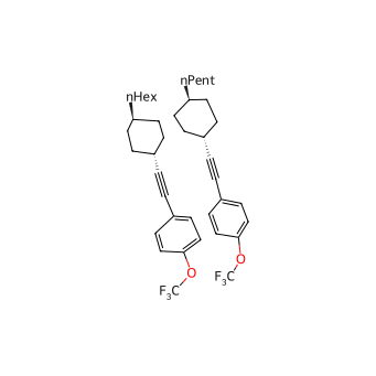 CCCCCC[C@H]1CC[C@H](C#Cc2ccc(OC(F)(F)F)cc2)CC1.CCCCC[C@H]1CC[C@H](C#Cc2ccc(OC(F)(F)F)cc2)CC1